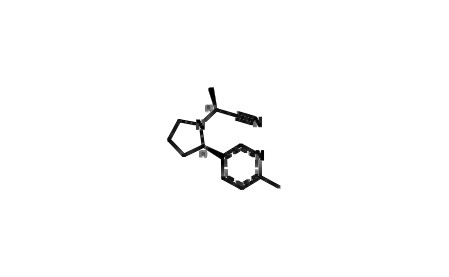 Cc1ccc([C@H]2CCCN2[C@@H](C)C#N)cn1